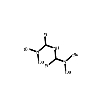 CCC(NC(CC)N(C(C)(C)C)C(C)(C)C)N(C(C)(C)C)C(C)(C)C